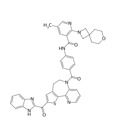 Cc1cnc(N2CC3(CCOCC3)C2)c(C(=O)Nc2ccc(C(=O)N3CCc4cc(C(=O)c5nc6ccccc6[nH]5)sc4-c4ncccc43)cc2)c1